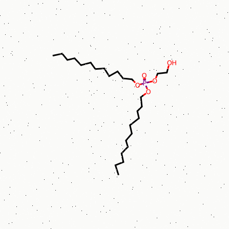 CCCCCCCCCCCCOP(=O)(OCCO)OCCCCCCCCCCCC